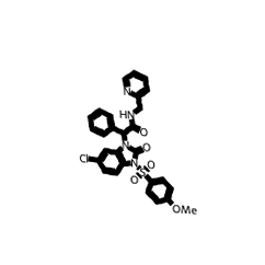 COc1ccc(S(=O)(=O)n2c(=O)n(C(C(=O)NCc3ccccn3)c3ccccc3)c3cc(Cl)ccc32)cc1